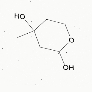 CC1(O)CCOC(O)C1